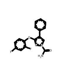 NC(=O)n1cc(-c2ccccc2)c(Oc2ccc(F)cc2F)n1